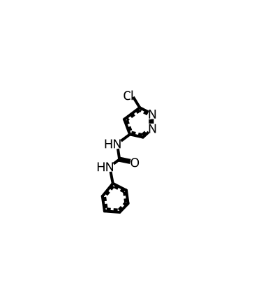 O=C(Nc1ccccc1)Nc1cnnc(Cl)c1